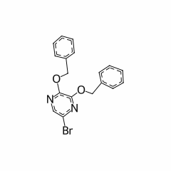 Brc1cnc(OCc2ccccc2)c(OCc2ccccc2)n1